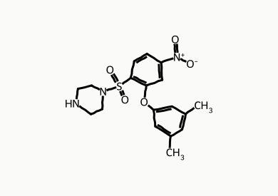 Cc1cc(C)cc(Oc2cc([N+](=O)[O-])ccc2S(=O)(=O)N2CCNCC2)c1